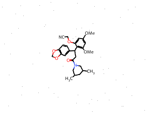 COc1cc(OC)c(C(CC(=O)N2CC(C)CC(C)C2)c2ccc3c(c2)OCO3)c(OCC#N)c1